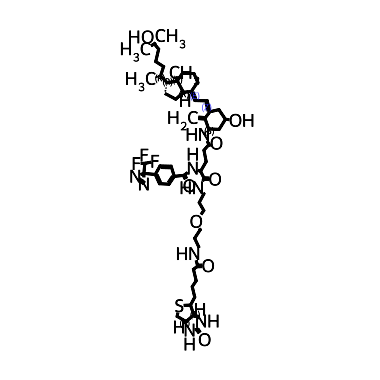 C=C1/C(=C\C=C2/CCC[C@]3(C)[C@@H]([C@H](C)CCCC(C)(C)O)CC[C@@H]23)CC(O)C[C@@H]1NC(=O)CCC(NC(=O)c1ccc(C2(C(F)(F)F)N=N2)cc1)C(=O)NCCCOCCCNC(=O)CCCCC1SC[C@@H]2NC(=O)N[C@H]12